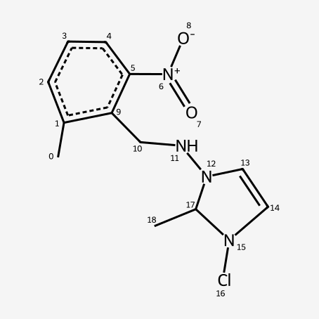 Cc1cccc([N+](=O)[O-])c1CNN1C=CN(Cl)C1C